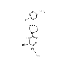 CCCC(NC(=O)N1CC=C(c2cc(C)ccc2F)CC1)C(=O)NCC#N